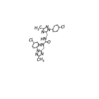 Cc1nc(CNC(=O)NCc2nc(C)nn2-c2ccc(Cl)cc2)n(-c2ccc(Cl)cc2)n1